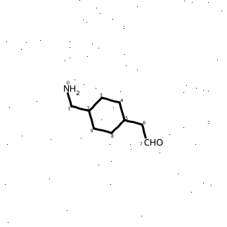 NCC1CCC(CC=O)CC1